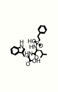 CC(C)C[C@H](NP(=O)(O)CCc1ccccc1)C(=O)N[C@@H](Cc1c[nH]c2ccccc12)C(=O)O